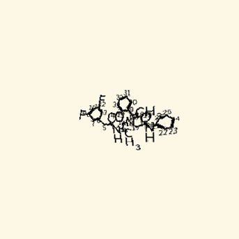 C[C@H](NC(=O)Cc1cc(F)cc(F)c1)C(=O)N(CC(=O)Nc1ccccc1)[C@@H](C)c1ccccc1